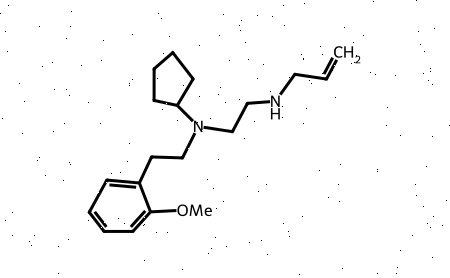 C=CCNCCN(CCc1ccccc1OC)C1CCCC1